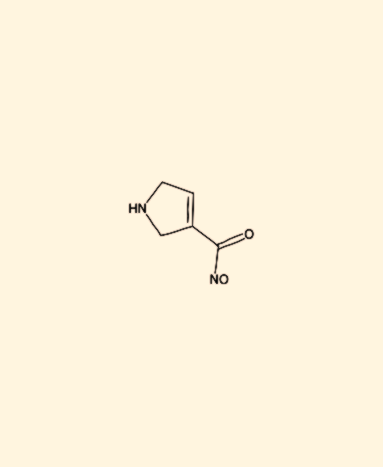 O=NC(=O)C1=CCNC1